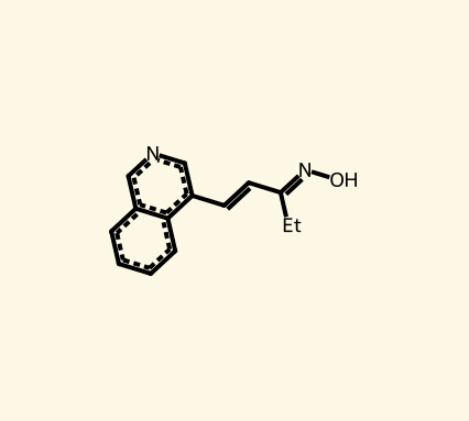 CCC(/C=C/c1cncc2ccccc12)=N\O